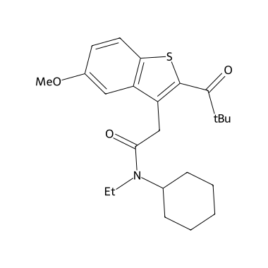 CCN(C(=O)Cc1c(C(=O)C(C)(C)C)sc2ccc(OC)cc12)C1CCCCC1